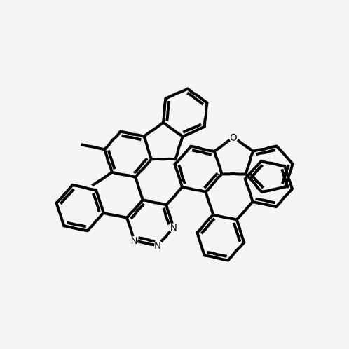 Cc1cc2c(c(-c3c(-c4ccccc4)nnnc3-c3ccc4oc5ccccc5c4c3-c3ccccc3-c3ccccc3)c1C)Cc1ccccc1-2